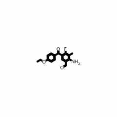 CCOc1ccc(C(=O)c2cc(C=O)c(N)c(C)c2F)cc1